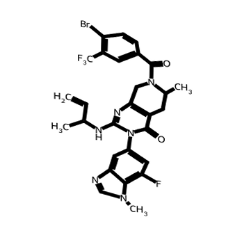 C=CC(C)Nc1nc2c(c(=O)n1-c1cc(F)c3c(c1)ncn3C)CC(C)N(C(=O)c1ccc(Br)c(C(F)(F)F)c1)C2